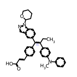 CC/C(=C(/c1ccc(C=CC(=O)O)cc1)c1ccc2c(cnn2C2CCCCO2)c1)c1ccc(N(C)c2ccccc2)cc1